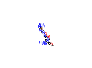 CCN(C(=O)[C@@H]1CCN(CC(=O)N2CCN(c3ncc(C(=N)/N=C\NC)s3)CC2)C1)c1ccc(N)c(C(=N)c2ccc(OC(C)C)cc2)n1